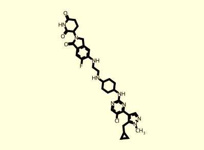 Cn1ncc(-c2nc(NC3CCC(NCCNc4cc5c(cc4F)C(=O)N(C4CCC(=O)NC4=O)C5)CC3)ncc2Cl)c1CC1CC1